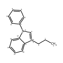 CCC[n+]1cn(-c2ccccc2)c2ccccc21